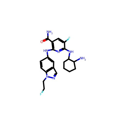 NC(=O)c1cc(F)c(NC2CCCCC2N)nc1Nc1ccc2c(cnn2CCF)c1